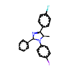 CC1C(c2ccc(F)cc2)=NC(c2ccccc2)N1c1ccc(I)cc1